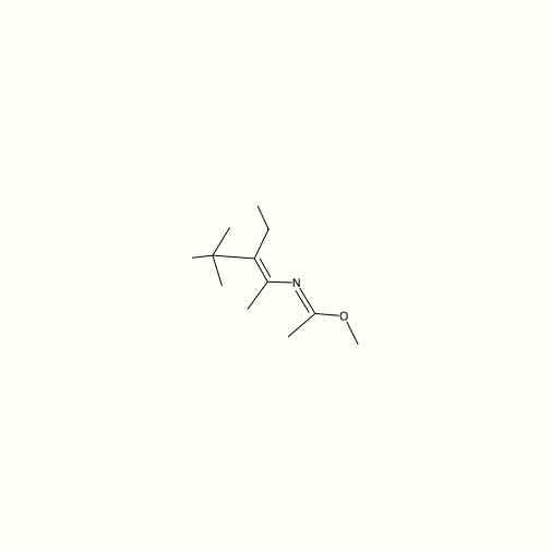 CC/C(=C(C)\N=C(/C)OC)C(C)(C)C